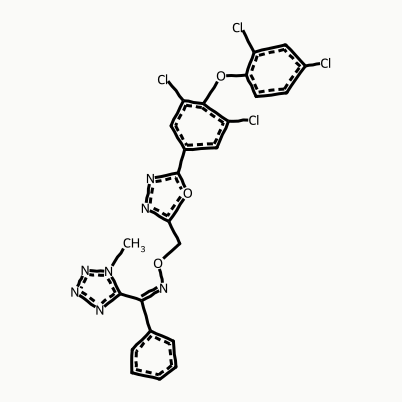 Cn1nnnc1/C(=N\OCc1nnc(-c2cc(Cl)c(Oc3ccc(Cl)cc3Cl)c(Cl)c2)o1)c1ccccc1